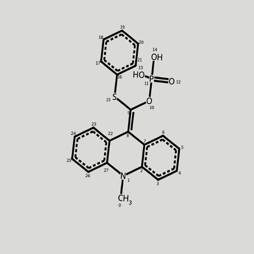 CN1c2ccccc2C(=C(OP(=O)(O)O)Sc2ccccc2)c2ccccc21